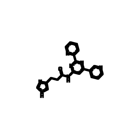 O=C(CCc1c[nH]cn1)Nc1cc(-c2cccnc2)nc(-c2ccccn2)n1